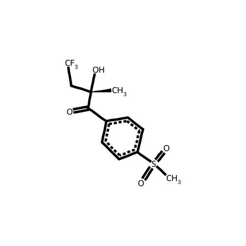 C[C@](O)(CC(F)(F)F)C(=O)c1ccc(S(C)(=O)=O)cc1